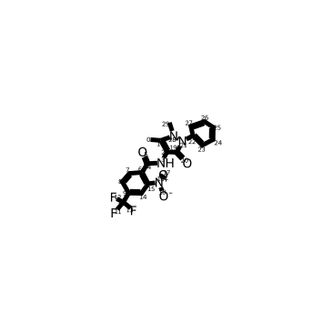 Cc1c(NC(=O)c2ccc(C(F)(F)F)cc2[N+](=O)[O-])c(=O)n(-c2ccccc2)n1C